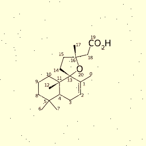 CC1=CCC2C(C)(C)CCC[C@]2(C)[C@@]12CC[C@](C)(CC(=O)O)O2